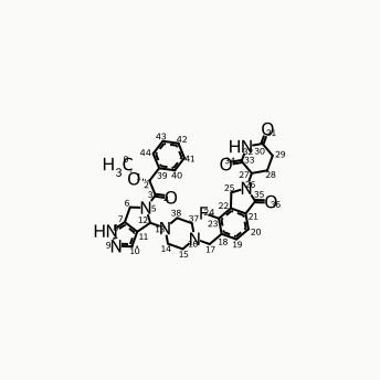 CO[C@@H](C(=O)N1Cc2[nH]n[c]c2C1N1CCN(Cc2ccc3c(c2F)CN(C2CCC(=O)NC2=O)C3=O)CC1)c1ccccc1